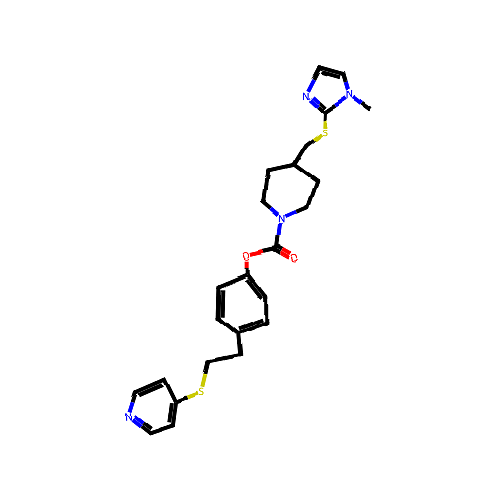 Cn1ccnc1SCC1CCN(C(=O)Oc2ccc(CCSc3ccncc3)cc2)CC1